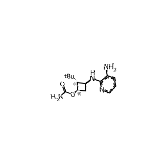 CC(C)(C)[C@@H]1C(Nc2ncccc2N)C[C@H]1OC(N)=O